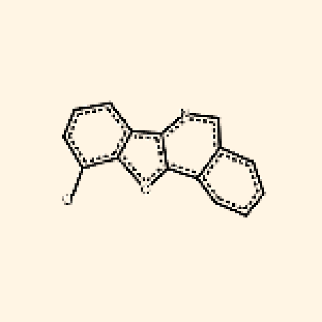 Clc1cccc2c1oc1c3ccccc3cnc21